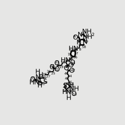 Nc1nc(=O)c2nc(CNc3ccc(C(=O)N[C@@H](CCC(=O)OC(=O)CCCC[C@@H]4SC[C@@H]5NC(=O)N[C@@H]54)C(=O)OC(=O)CCCC[C@@H]4SC[C@@H]5NC(=O)N[C@@H]54)cc3)cnc2[nH]1